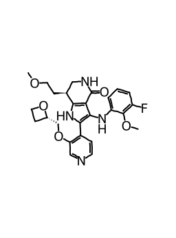 COCC[C@H]1CNC(=O)c2c1[nH]c(-c1ccncc1OC[C@@H]1CCO1)c2Nc1cccc(F)c1OC